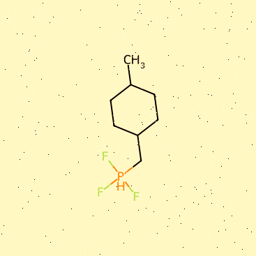 CC1CCC(C[PH](F)(F)F)CC1